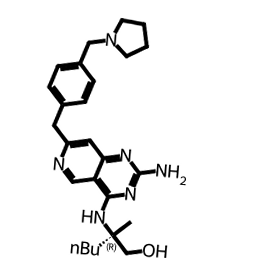 CCCC[C@](C)(CO)Nc1nc(N)nc2cc(Cc3ccc(CN4CCCC4)cc3)ncc12